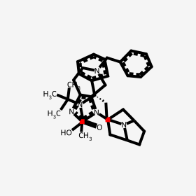 Cc1nc2c(n1C1CC3CCC(C1)N3CC[C@@H](c1ccccc1)N(C(=O)O)C(C)(C)C)CN(Cc1ccccc1)CC2